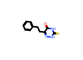 O=c1[nH]c(=S)[nH]nc1CCc1ccccc1